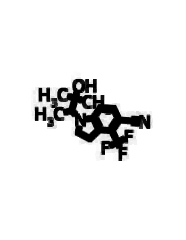 CC(N1CCc2c1ccc(C#N)c2C(F)(F)F)C(C)(C)O